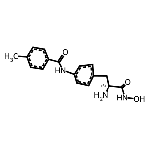 Cc1ccc(C(=O)Nc2ccc(C[C@H](N)C(=O)NO)cc2)cc1